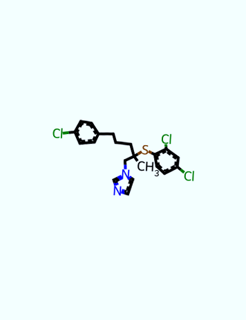 CC(CCCc1ccc(Cl)cc1)(Cn1ccnc1)Sc1ccc(Cl)cc1Cl